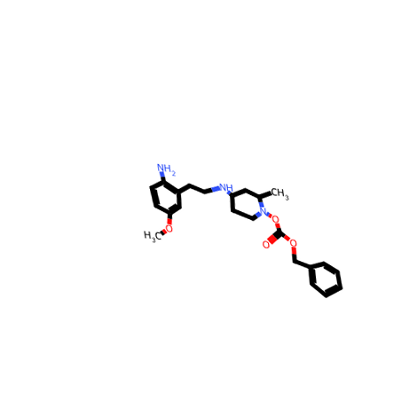 COc1ccc(N)c(CCNC2CCN(OC(=O)OCc3ccccc3)C(C)C2)c1